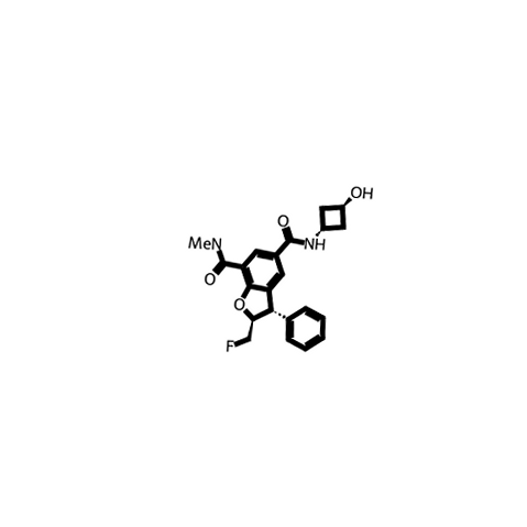 CNC(=O)c1cc(C(=O)N[C@H]2C[C@H](O)C2)cc2c1O[C@H](CF)[C@H]2c1ccccc1